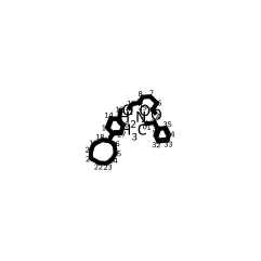 C[C@@H](N)[C@@H](OC1CCCC(COCc2ccc(C3CCCCCCCCC3)cc2)O1)c1ccccc1